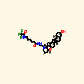 CC1=C2C[C@H]3[C@@H](CC=C4C[C@@H](O)CC[C@@]43C)[C@@H]2CC[C@]12O[C@@H]1C[C@H](C)CN(CCNC(=O)CCCCCNC(=O)C(F)(F)F)[C@H]1[C@H]2C